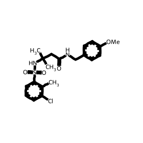 COc1ccc(CNC(=O)CC(C)(C)NS(=O)(=O)c2cccc(Cl)c2C)cc1